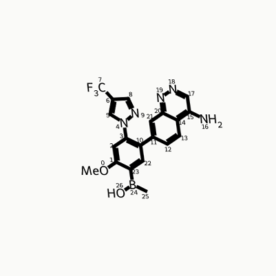 COc1cc(-n2cc(C(F)(F)F)cn2)c(-c2ccc3c(N)cnnc3c2)cc1B(C)O